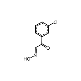 O=C(/C=N/O)c1cccc(Cl)c1